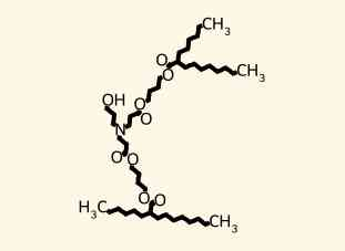 CCCCCCCCC(CCCCCC)C(=O)OCCCCOC(=O)CCN(CCCO)CCC(=O)OCCCCOC(=O)C(CCCCCC)CCCCCCCC